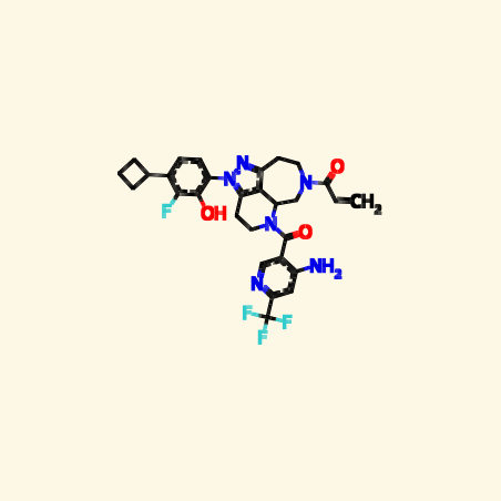 C=CC(=O)N1CCc2nn(-c3ccc(C4CCC4)c(F)c3O)c3c2C(C1)N(C(=O)c1cnc(C(F)(F)F)cc1N)CC3